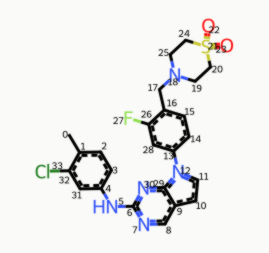 Cc1ccc(Nc2ncc3ccn(-c4ccc(CN5CCS(=O)(=O)CC5)c(F)c4)c3n2)cc1Cl